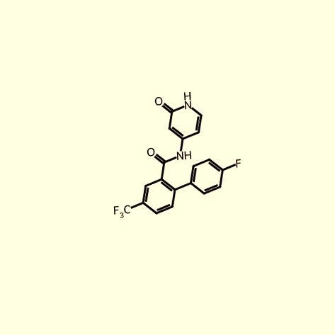 O=C(Nc1cc[nH]c(=O)c1)c1cc(C(F)(F)F)ccc1-c1ccc(F)cc1